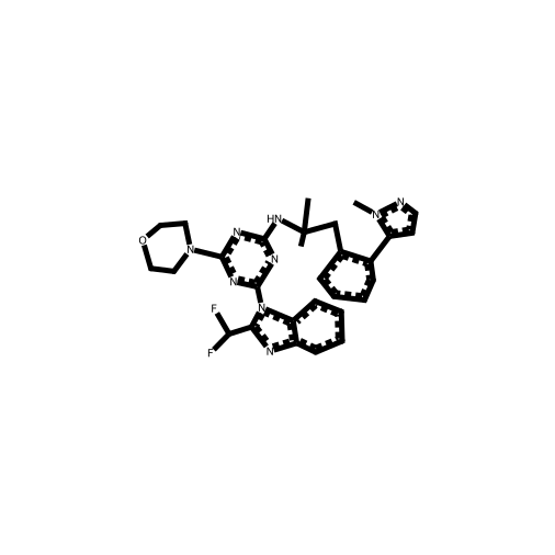 Cn1nccc1-c1ccccc1CC(C)(C)Nc1nc(N2CCOCC2)nc(-n2c(C(F)F)nc3ccccc32)n1